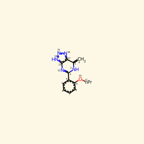 C=C1NC(c2ccccc2OCCC)=Nc2[nH]nnc21